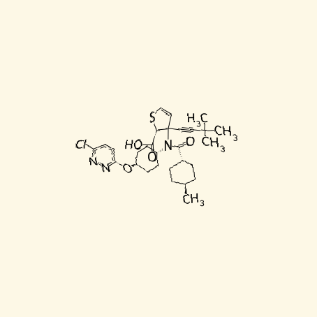 CC(C)(C)C#CC1(N(C(=O)[C@H]2CC[C@H](C)CC2)[C@H]2CC[C@H](Oc3ccc(Cl)nn3)CC2)C=CSC1C(=O)O